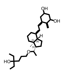 C=C1C(=CC=C2CCC[C@]3(C)[C@@H](C(C)OCCCC(O)(CC)CC)CC[C@@H]23)CC(O)CC1O